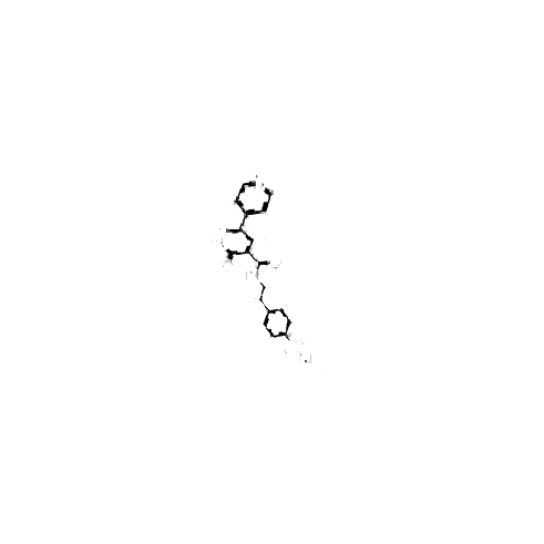 NS(=O)(=O)c1ccc(CCNC(=O)c2cc(-c3ccncc3)n[nH]c2=O)cc1